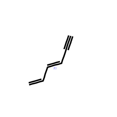 C#C/C=C/C=C